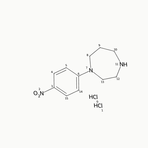 Cl.Cl.O=[N+]([O-])c1ccc(N2CCCNCC2)cc1